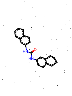 O=C(Nc1ccc2ccccc2c1)Nc1ccc2ccccc2c1